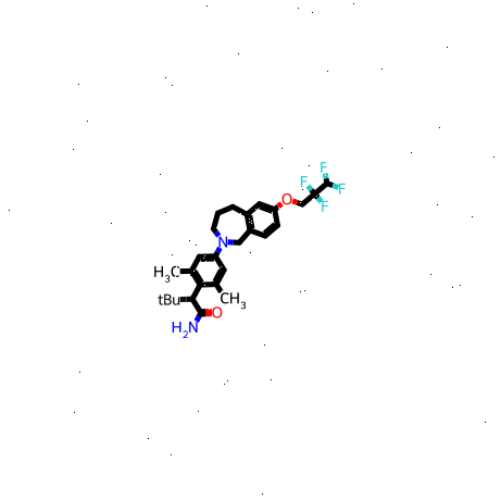 Cc1cc(N2CCCc3cc(OCC(F)(F)C(F)F)ccc3C2)cc(C)c1C(C(N)=O)C(C)(C)C